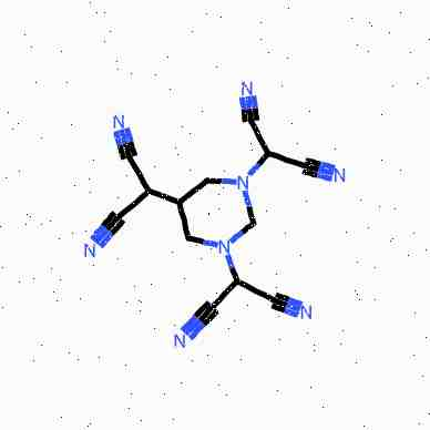 N#CC(C#N)C1CN(C(C#N)C#N)CN(C(C#N)C#N)C1